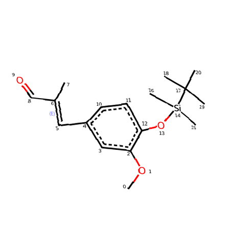 COc1cc(/C=C(\C)C=O)ccc1O[Si](C)(C)C(C)(C)C